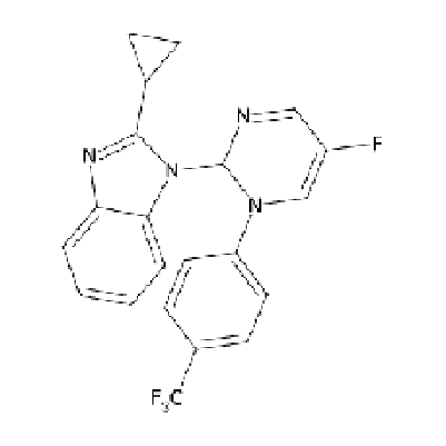 FC1=CN(c2ccc(C(F)(F)F)cc2)C(n2c(C3CC3)nc3ccccc32)N=C1